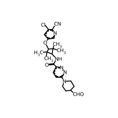 CC1(C)C(NC(=O)c2ccc(N3CCC(C=O)CC3)nn2)C(C)(C)C1Oc1cnc(C#N)c(Cl)c1